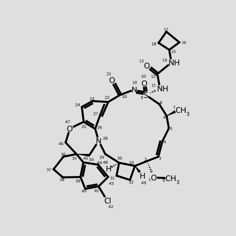 CO[C@H]1/C=C/C[C@H](C)C[S@@](=O)(NC(=O)NC2CCC2)=NC(=O)c2ccc3c(c2)N(C[C@@H]2CC[C@H]21)C[C@@]1(CCCc2cc(Cl)ccc21)CO3